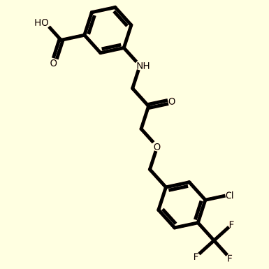 O=C(CNc1cccc(C(=O)O)c1)COCc1ccc(C(F)(F)F)c(Cl)c1